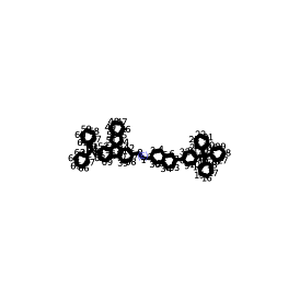 C(=C\c1ccc2cc(-c3ccc(C(c4ccccc4)(c4ccccc4)c4ccccc4)cc3)ccc2c1)/c1ccc2c(c1)C1(Cc3ccccc3C1)c1cc(N(c3ccccc3)c3ccccc3)ccc1-2